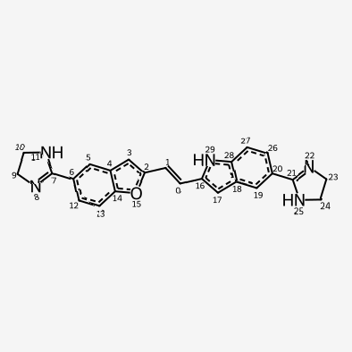 C(=C\c1cc2cc(C3=NCCN3)ccc2o1)/c1cc2cc(C3=NCCN3)ccc2[nH]1